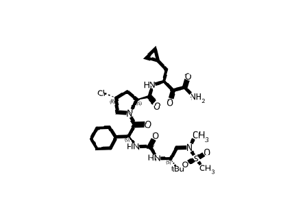 CN(C[C@@H](NC(=O)N[C@H](C(=O)N1C[C@H](Cl)C[C@H]1C(=O)NC(CC1CC1)C(=O)C(N)=O)C1CCCCC1)C(C)(C)C)S(C)(=O)=O